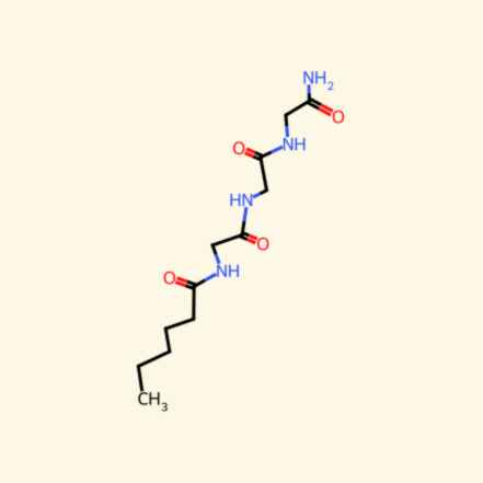 CCCCCC(=O)NCC(=O)NCC(=O)NCC(N)=O